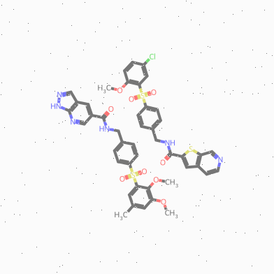 COc1cc(C)cc(S(=O)(=O)c2ccc(CNC(=O)c3cnc4[nH]ncc4c3)cc2)c1OC.COc1ccc(Cl)cc1S(=O)(=O)c1ccc(CNC(=O)c2cc3ccncc3s2)cc1